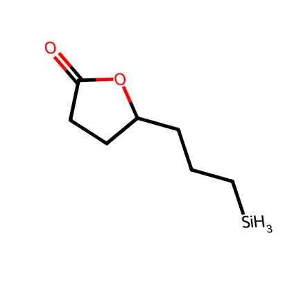 O=C1CCC(CCC[SiH3])O1